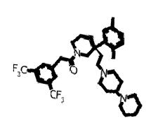 Cc1ccc(C)c([C@@]2(CCN3CCC(N4CCCCC4)CC3)CCCN(C(=O)Cc3cc(C(F)(F)F)cc(C(F)(F)F)c3)C2)c1